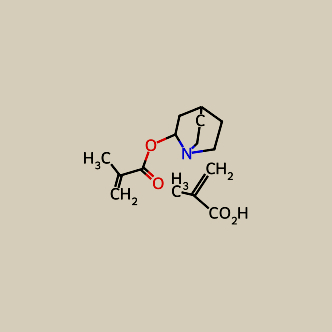 C=C(C)C(=O)O.C=C(C)C(=O)OC1CC2CCN1CC2